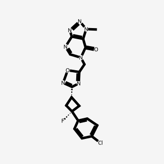 Cn1nnc2ncn(Cc3nc([C@H]4C[C@](F)(c5ccc(Cl)cc5)C4)no3)c(=O)c21